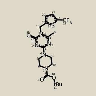 Cc1nc(N2CCN(C(=O)OC(C)(C)C)CC2)nc(=O)n1Cc1ccc(C(F)(F)F)s1